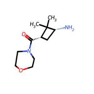 CC1(C)[C@H](N)C[C@@H]1C(=O)N1CCOCC1